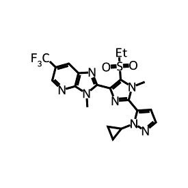 CCS(=O)(=O)c1c(-c2nc3cc(C(F)(F)F)cnc3n2C)nc(-c2ccnn2C2CC2)n1C